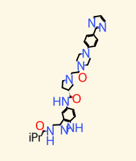 CC(C)C(=O)NCc1n[nH]c2ccc(NC(=O)[C@@H]3CCN(CC(=O)N4CCN(c5ccc(-c6ncccn6)cc5)CC4)C3)cc12